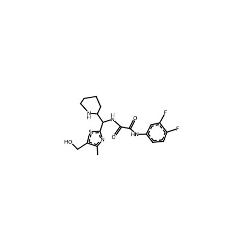 Cc1nc(C(NC(=O)C(=O)Nc2ccc(F)c(F)c2)C2CCCCN2)sc1CO